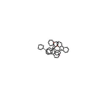 c1ccc(-c2ccc3c4cccc(-n5c6ccccc6c6cccc([Si](c7ccccc7)(c7ccccc7)c7ccccc7)c65)c4n(-c4ccccc4)c3c2)cc1